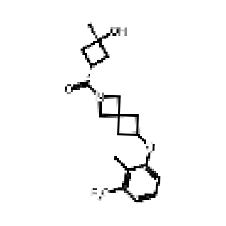 Cc1c(OC2CC3(C2)CN(C(=O)[C@H]2C[C@@](C)(O)C2)C3)cccc1C(F)(F)F